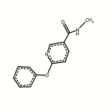 CNC(=O)c1ccc(Oc2ccccc2)nc1